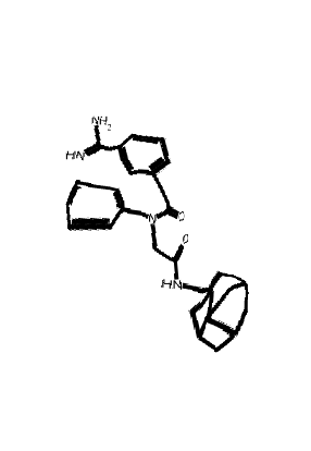 N=C(N)c1cccc(C(=O)N(CC(=O)NC23CC4CC(CC(C4)C2)C3)c2ccccc2)c1